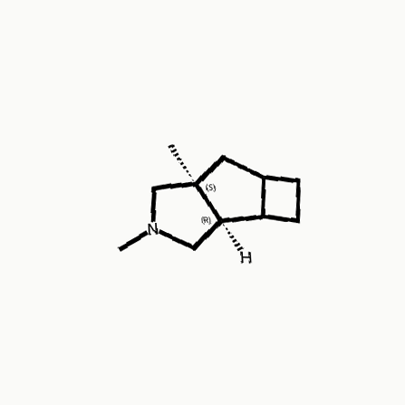 CN1C[C@@H]2C3CCC3C[C@]2(C)C1